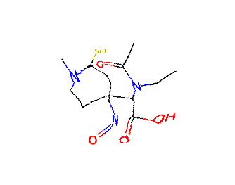 CCN(C(C)=O)C(C(=O)O)C1(N=O)CCN(C)C(S)C1